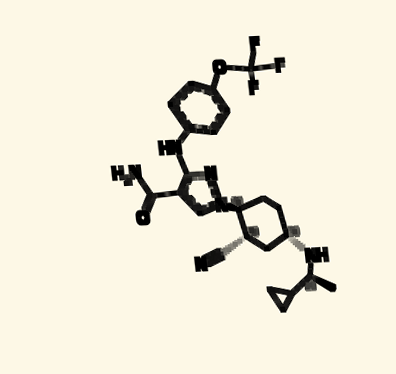 C[C@H](N[C@H]1CC[C@H](n2cc(C(N)=O)c(Nc3ccc(OC(F)(F)F)cc3)n2)[C@@H](C#N)C1)C1CC1